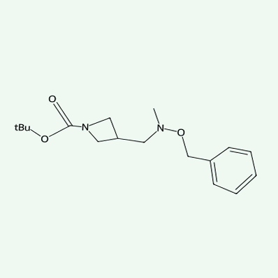 CN(CC1CN(C(=O)OC(C)(C)C)C1)OCc1ccccc1